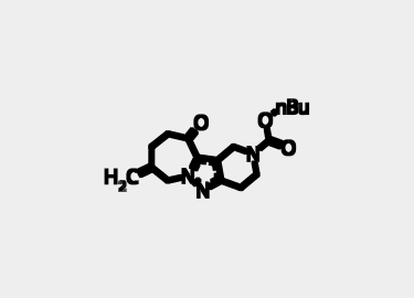 C=C1CCC(=O)c2c3c(nn2C1)CCN(C(=O)OCCCC)C3